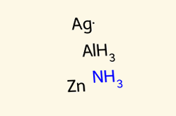 N.[Ag].[AlH3].[Zn]